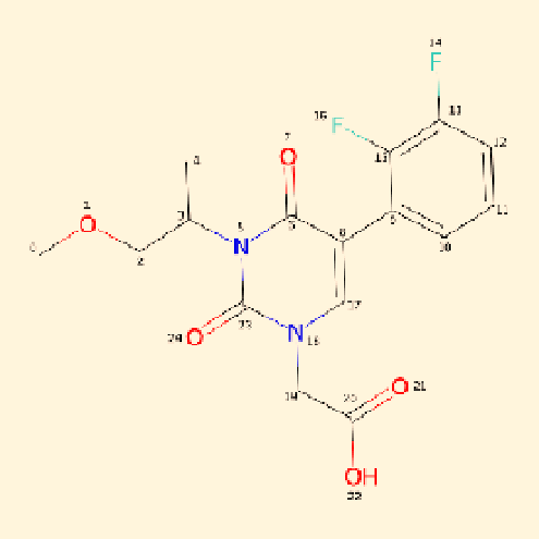 COCC(C)n1c(=O)c(-c2cccc(F)c2F)cn(CC(=O)O)c1=O